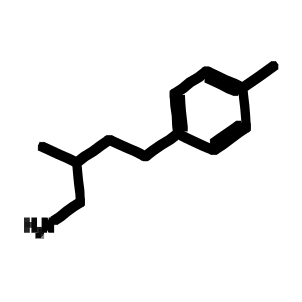 Cc1ccc(CCC(C)CN)cc1